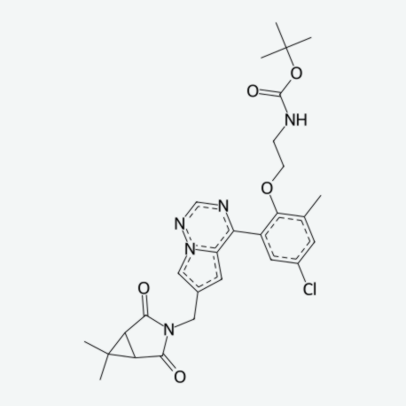 Cc1cc(Cl)cc(-c2ncnn3cc(CN4C(=O)C5C(C4=O)C5(C)C)cc23)c1OCCNC(=O)OC(C)(C)C